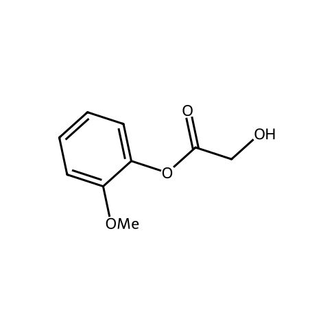 COc1ccccc1OC(=O)CO